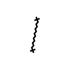 CC(C)(C)CCCCCCCCCCCCC(C)(C)C